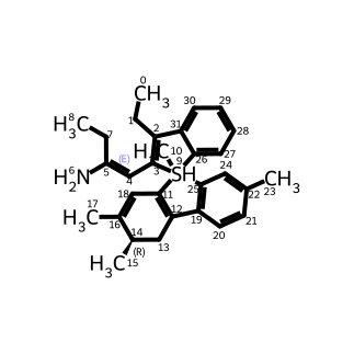 CCC1=C(/C=C(/N)CC)[SH]2(C)(C3=C(C[C@@H](C)C(C)=C3)c3ccc(C)cc32)c2ccccc21